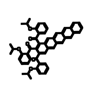 CC(C)Oc1ccccc1C(=O)c1cc2cc3cc4cc5ccccc5cc4cc3cc2c(C(=O)c2ccccc2OC(C)C)c1C(=O)c1ccccc1OC(C)C